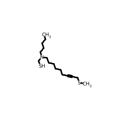 CCCCCN(CS)CCCCCCC#CCSC